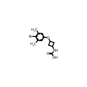 Cc1cc(OC2CC(NC(=O)O)C2)cc(C)c1Br